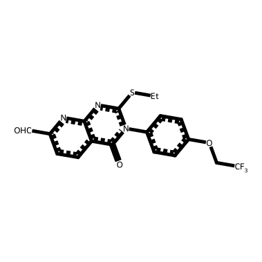 CCSc1nc2nc(C=O)ccc2c(=O)n1-c1ccc(OCC(F)(F)F)cc1